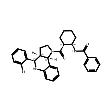 O=C(N[C@@H]1CCCC[C@@H]1C(=O)N1CC[C@@H]2[C@H](c3ccccc3Cl)Nc3ccccc3[C@@H]21)c1ccccc1